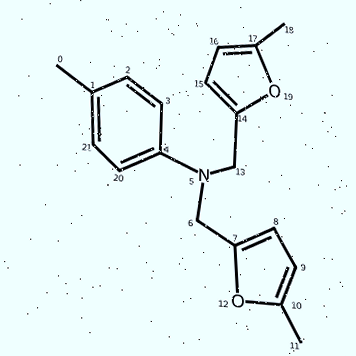 Cc1ccc(N(Cc2ccc(C)o2)Cc2ccc(C)o2)cc1